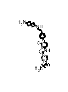 CC(C)(N)C(=O)N1CCN(C(=O)Nc2ccn(-c3ccc(CCNC4CC5(CC(N)C5)C4)cc3)c(=O)n2)CC1